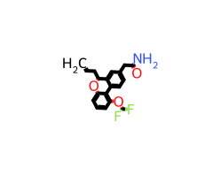 C=CCC1Oc2cccc(OC(F)F)c2-c2ccc(CC(N)=O)cc21